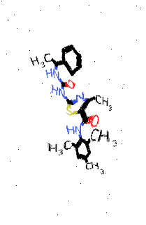 Cc1cc(C)c(NC(=O)c2sc(NC(=O)NC(C)c3ccccc3)nc2C)c(C)c1